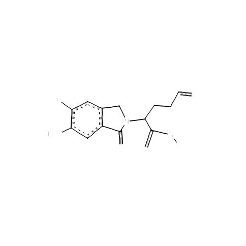 CNC(=O)C(CCC=O)N1Cc2cc(F)c(C)cc2C1=O